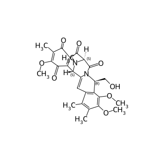 COC1=C(C)C(=O)C2=C(C1=O)[C@H]1C3=Cc4c(C)c(C)c(OC)c(OC)c4[C@H](CO)N3C(=O)[C@H](C2=O)N1C